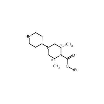 C[C@@H]1CN(C2CCNCC2)C[C@H](C)N1C(=O)OC(C)(C)C